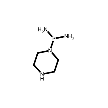 NP(N)N1CCNCC1